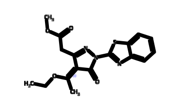 CCO/C(C)=C1/C(=O)N(c2nc3ccccc3s2)N=C1CC(=O)OC